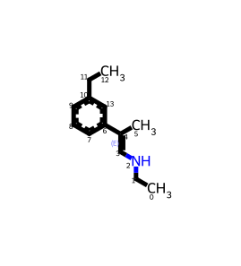 CCN/C=C(\C)c1cccc(CC)c1